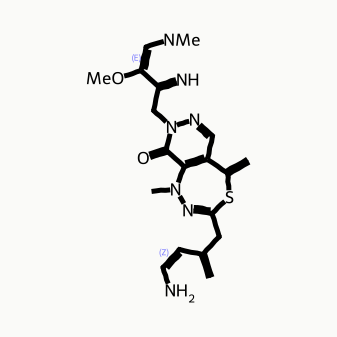 C=C(/C=C\N)CC1=NN(C)c2c(cnn(CC(=N)/C(=C\NC)OC)c2=O)C(=C)S1